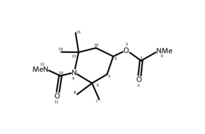 CNC(=O)OC1CC(C)(C)N(C(=O)NC)C(C)(C)C1